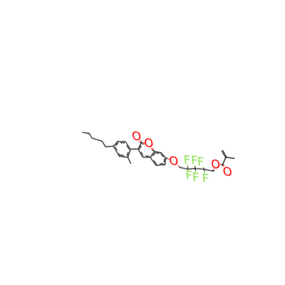 C=C(C)C(=O)OCC(F)(F)C(F)(F)C(F)(F)COc1ccc2cc(-c3ccc(CCCCC)cc3C)c(=O)oc2c1